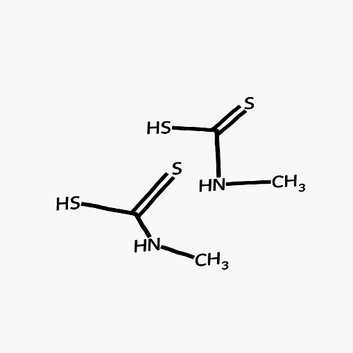 CNC(=S)S.CNC(=S)S